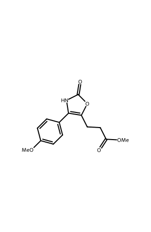 COC(=O)CCc1oc(=O)[nH]c1-c1ccc(OC)cc1